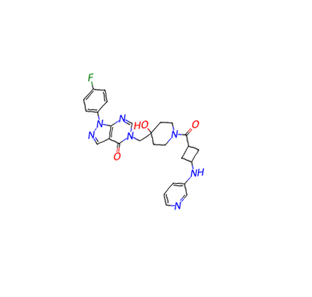 O=C(C1CC(Nc2cccnc2)C1)N1CCC(O)(Cn2cnc3c(cnn3-c3ccc(F)cc3)c2=O)CC1